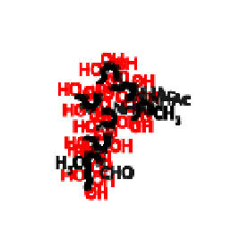 CC(=O)NC1C(O)[C@H](O[C@@H]2OC(CO)[C@H](O)[C@H](O[C@]3(OC=O)C[C@@H](O)[C@@H](C)C(C(O)C(O)CO)O3)C2O)[C@H](CO)O[C@H]1OC1[C@@H](OCC2O[C@@H](O[C@@H]3C(CO)O[C@@H](O[C@@H]4C(CO)O[C@@H](C)C(NC(C)=O)[C@H]4O)C(NC(C)=O)[C@H]3O)C(O)[C@@H](O)[C@@H]2O)OC(CO)[C@@H](O)[C@@H]1O